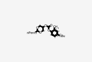 CCCCCC1OCC(OC(=O)Oc2ccc(CCCC)cc2C)CO1